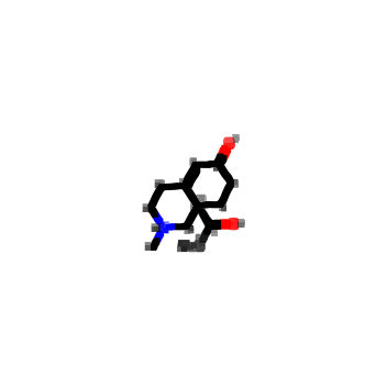 COC(=O)[C@]12CCC(=O)C=C1CCN(C)C2